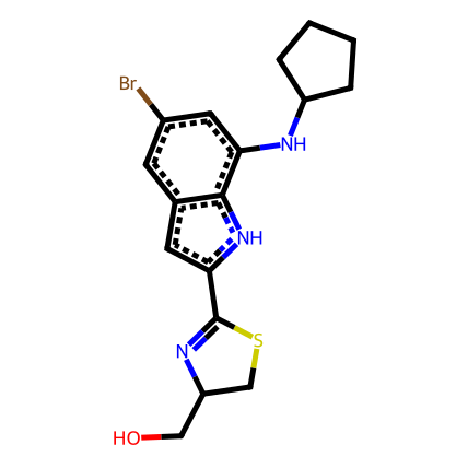 OCC1CSC(c2cc3cc(Br)cc(NC4CCCC4)c3[nH]2)=N1